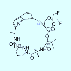 CC1NC(=O)[C@@H]2CCCN(N2)C(=O)[C@H](C)NC(=O)[C@H](C(C)C)OC(=O)C2(/C=C/c3ccc4ccc1nc4c3)COC(CF)(CF)OC2